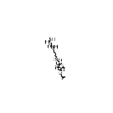 COC1C(OC(=O)NCCCCCCNC(=O)CNS)CCC2(CO2)C1C(C)(C)OCC=C(C)C